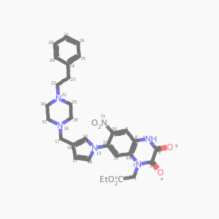 CCOC(=O)Cn1c(=O)c(=O)[nH]c2cc([N+](=O)[O-])c(-n3ccc(CN4CCN(CCc5ccccc5)CC4)c3)cc21